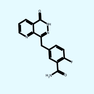 NC(=O)c1cc(Cc2n[nH]c(=O)c3cccnc23)ccc1F